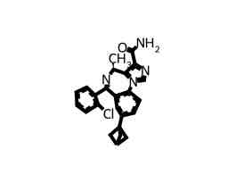 C[C@H]1N=C(c2ccccc2Cl)c2cc(C34CC(C3)C4)ccc2-n2cnc(C(N)=O)c21